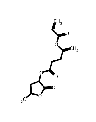 C=CC(=O)OC(=C)CCC(=O)OC1CC(C)OC1=O